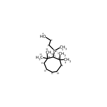 CN(CCO)C1C(C)(C)CCCCCC1(C)C